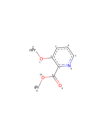 CCCOc1cccnc1C(=O)OC(C)C